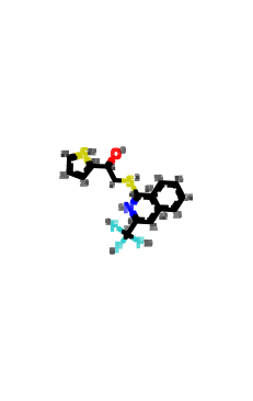 O=C(CSc1nc(C(F)(F)F)cc2ccccc12)c1cccs1